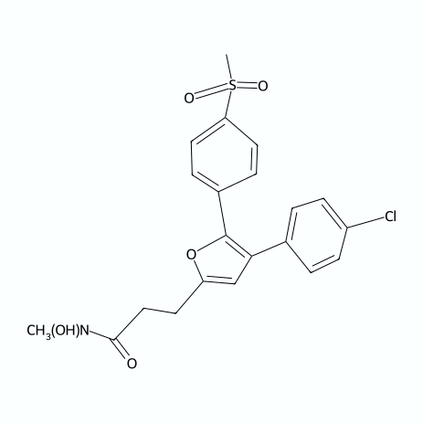 CN(O)C(=O)CCc1cc(-c2ccc(Cl)cc2)c(-c2ccc(S(C)(=O)=O)cc2)o1